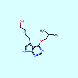 CC(C)COc1ncnc2[nH]cc(C/C=C/CO)c12